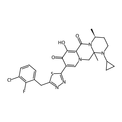 C[C@H]1CCN(C2CC2)C2(C)Cn3cc(-c4nnc(Cc5cccc(Cl)c5F)s4)c(=O)c(O)c3C(=O)N12